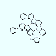 c1ccc(-c2cc(-c3ccccc3)nc(-c3cc(-n4c5ccccc5c5ccc6c7ccccc7n(-c7ccccc7)c6c54)c4c(c3)oc3ccccc34)n2)cc1